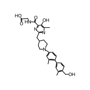 Cc1cc(-c2ccc(N3CCC(Cc4nc(C)c(O)c(C(=O)NCC(=O)O)n4)CC3)cc2C)ccc1CO